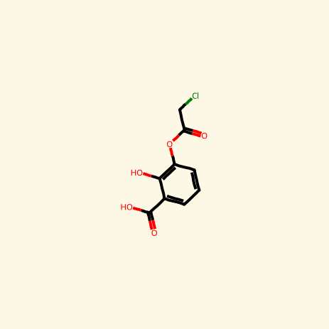 O=C(CCl)Oc1cccc(C(=O)O)c1O